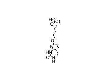 O=C1NCCc2ccc(OCCCCCS(=O)(=O)O)nc2N1